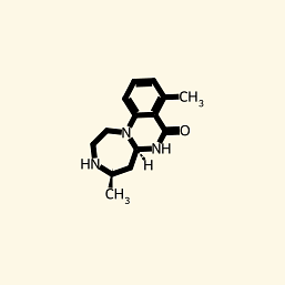 Cc1cccc2c1C(=O)N[C@H]1C[C@@H](C)NCCN21